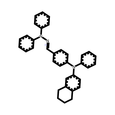 C(=N\N(c1ccccc1)c1ccccc1)/c1ccc(N(c2ccccc2)c2ccc3c(c2)CCCC3)cc1